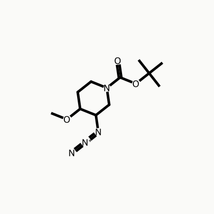 COC1CCN(C(=O)OC(C)(C)C)CC1N=[N+]=[N-]